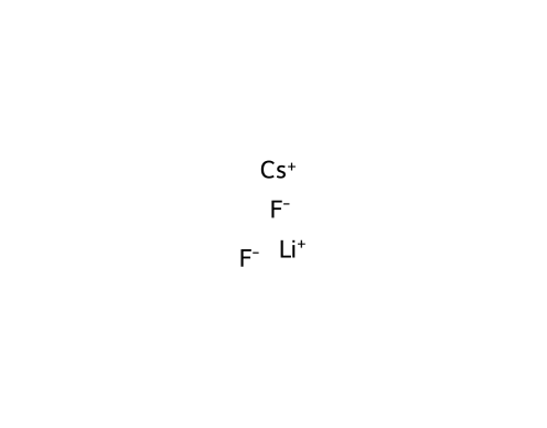 [Cs+].[F-].[F-].[Li+]